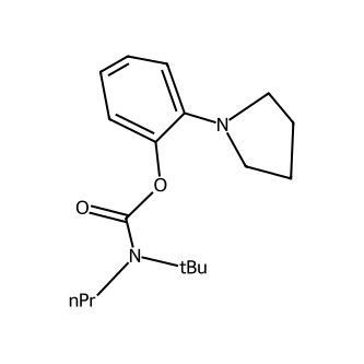 CCCN(C(=O)Oc1ccccc1N1CCCC1)C(C)(C)C